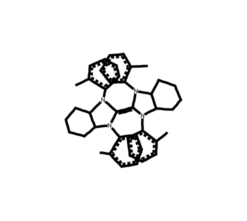 Cc1ccccc1N1C(=C2N(c3ccccc3C)C3CCCCC3N2c2ccccc2C)N(c2ccccc2C)C2CCCCC21